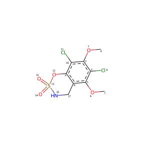 COc1c(Cl)c(OC)c2c(c1Cl)OS(=O)(=O)NC2